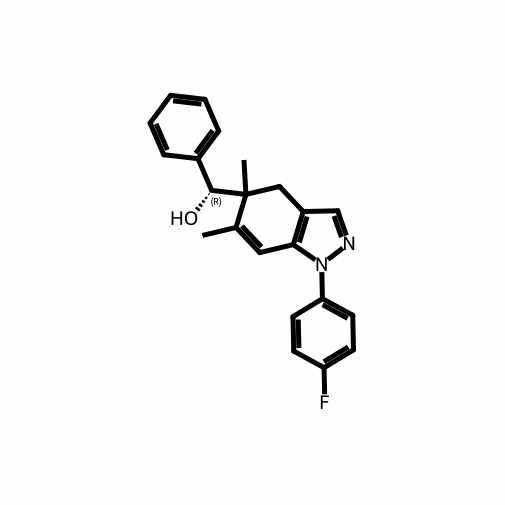 CC1=Cc2c(cnn2-c2ccc(F)cc2)CC1(C)[C@H](O)c1ccccc1